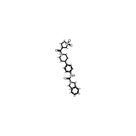 O=C(Nc1ccc(C2CCN(C(=O)C3CCS(=O)(=O)C3)CC2)cc1)N1Cc2ccccc2C1